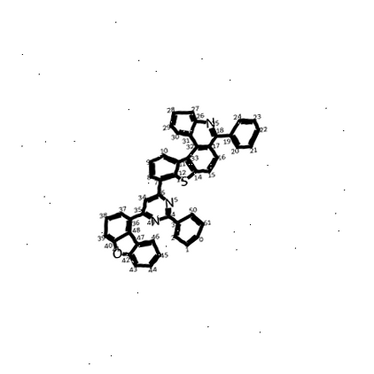 c1ccc(-c2nc(-c3cccc4c3sc3ccc5c(-c6ccccc6)nc6ccccc6c5c34)cc(-c3cccc4oc5ccccc5c34)n2)cc1